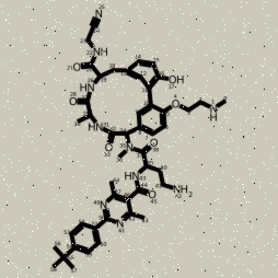 CNCCOc1ccc2cc1-c1cc(ccc1O)CC(C(=O)NCC#N)NC(=O)C(C)NC(=O)C2N(C)C(=O)C(CCN)NC(=O)c1c(C)nc(-c2ccc(C(C)(C)C)cc2)nc1C